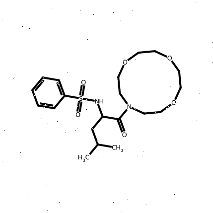 CC(C)CC(NS(=O)(=O)c1ccccc1)C(=O)N1CCOCCOCCOCC1